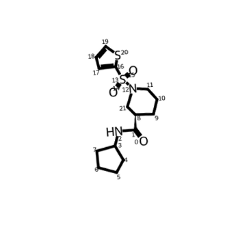 O=C(NC1CCCC1)[C@@H]1CCCN(S(=O)(=O)c2cccs2)C1